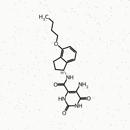 CCCCOc1cccc2c1CC[C@H]2NC(=O)c1[nH]c(=O)[nH]c(=O)c1N